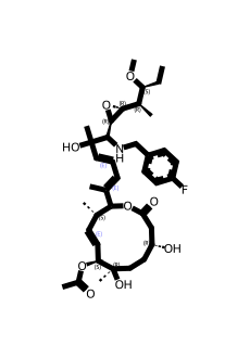 CC[C@H](OC)[C@@H](C)[C@H]1O[C@@H]1C(NCc1ccc(F)cc1)C(C)(O)/C=C/C=C(\C)C1OC(=O)C[C@H](O)CC[C@@](C)(O)[C@@H](OC(C)=O)/C=C/[C@@H]1C